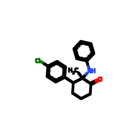 CC1(Nc2ccccc2)C(=O)CCCC1c1ccc(Cl)cc1